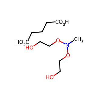 CN(OCCO)OCCO.O=C(O)CCCC(=O)O